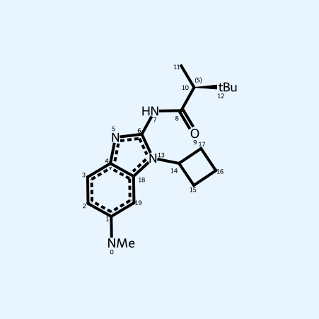 CNc1ccc2nc(NC(=O)[C@@H](C)C(C)(C)C)n(C3CCC3)c2c1